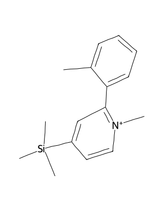 Cc1ccccc1-c1cc([Si](C)(C)C)cc[n+]1C